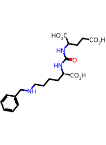 O=C(O)CCC(NC(=O)N[C@H](CCCCNCc1ccccc1)C(=O)O)C(=O)O